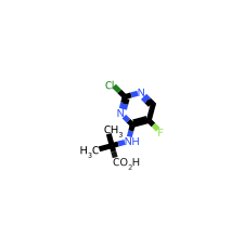 CC(C)(Nc1nc(Cl)ncc1F)C(=O)O